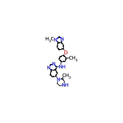 Cc1cc(Nc2ncnc3ccc(N4CCNC[C@@H]4C)cc23)ccc1Oc1ccc2c(c1)ncn2C